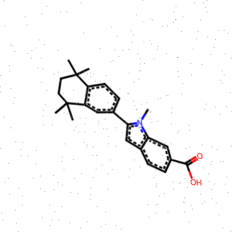 Cn1c(-c2ccc3c(c2)C(C)(C)CCC3(C)C)cc2ccc(C(=O)O)cc21